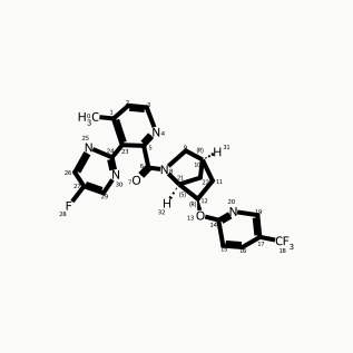 Cc1ccnc(C(=O)N2C[C@H]3C[C@@H](Oc4ccc(C(F)(F)F)cn4)[C@@H]2C3)c1-c1ncc(F)cn1